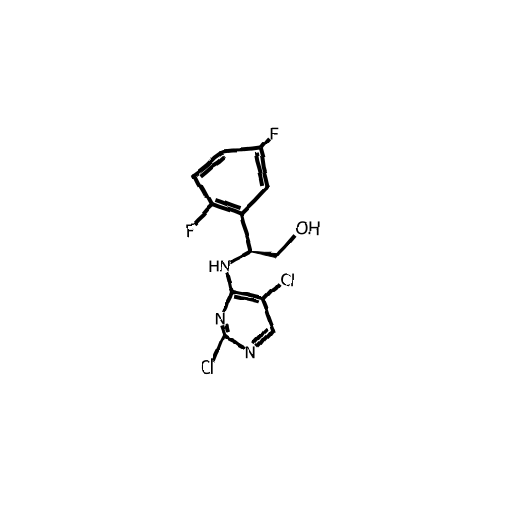 OC[C@@H](Nc1nc(Cl)ncc1Cl)c1cc(F)ccc1F